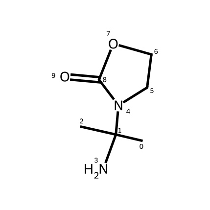 CC(C)(N)N1CCOC1=O